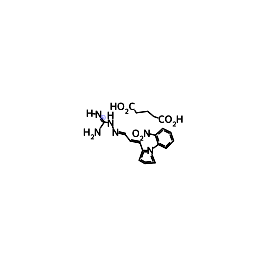 O=C(O)CCCC(=O)O.[H]/N=C(\N)NN=CC=Cc1cccn1-c1ccccc1[N+](=O)[O-]